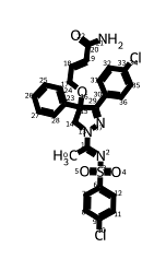 C/C(=N\S(=O)(=O)c1ccc(Cl)cc1)N1CC(OC/C=C/C(N)=O)(c2ccccc2)C(c2ccc(Cl)cc2)=N1